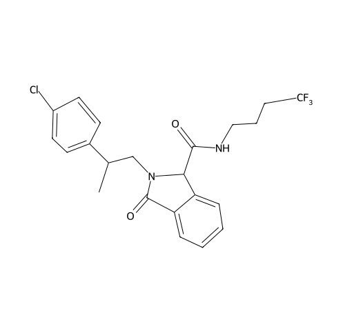 CC(CN1C(=O)c2ccccc2C1C(=O)NCCCC(F)(F)F)c1ccc(Cl)cc1